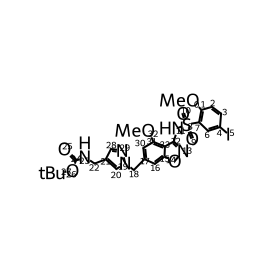 COc1ccc(I)cc1S(=O)(=O)Nc1noc2cc(Cn3cc(CNC(=O)OC(C)(C)C)cn3)cc(OC)c12